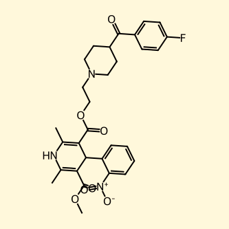 COC(=O)C1=C(C)NC(C)=C(C(=O)OCCN2CCC(C(=O)c3ccc(F)cc3)CC2)C1c1ccccc1[N+](=O)[O-]